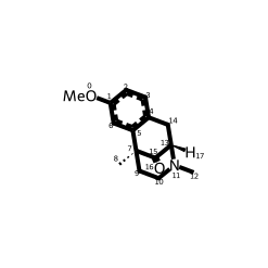 COc1ccc2c(c1)[C@]1(C)CCN(C)[C@@H](C2)C1=O